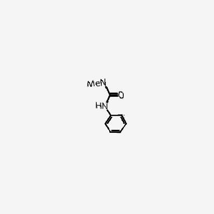 CNC(=O)Nc1[c]cccc1